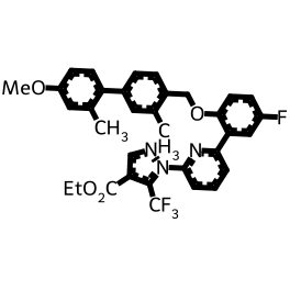 CCOC(=O)c1cnn(-c2cccc(-c3cc(F)ccc3OCc3ccc(-c4ccc(OC)cc4C)cc3C)n2)c1C(F)(F)F